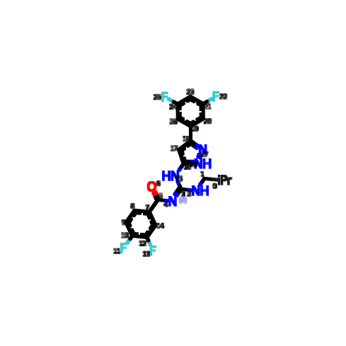 CC(C)CN/C(=N/C(=O)c1ccc(F)c(F)c1)Nc1cc(-c2cc(F)cc(F)c2)n[nH]1